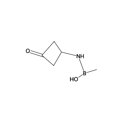 CB(O)NC1CC(=O)C1